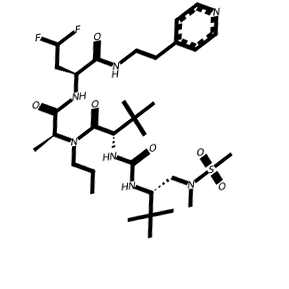 CCCN(C(=O)[C@@H](NC(=O)N[C@H](CN(C)S(C)(=O)=O)C(C)(C)C)C(C)(C)C)[C@@H](C)C(=O)N[C@@H](CC(F)F)C(=O)NCCc1ccncc1